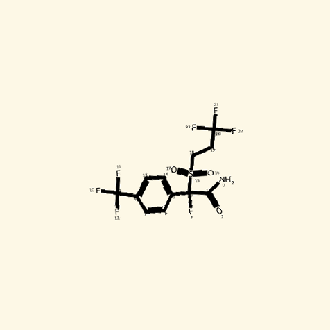 NC(=O)C(F)(c1ccc(C(F)(F)F)cc1)S(=O)(=O)CCC(F)(F)F